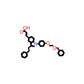 O=C(O)/C=C/c1ccc2c(c1)c(CCc1ccccc1)cn2-c1ccc(OCCOCc2ccccc2)cc1